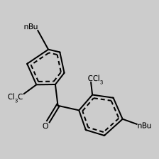 CCCCc1ccc(C(=O)c2ccc(CCCC)cc2C(Cl)(Cl)Cl)c(C(Cl)(Cl)Cl)c1